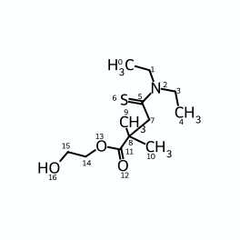 CCN(CC)C(=S)CC(C)(C)C(=O)OCCO